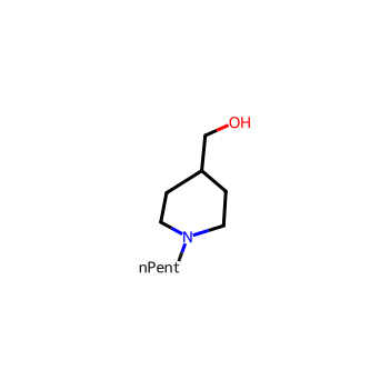 CCCCCN1CCC(CO)CC1